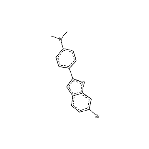 CN(C)c1ccc(-c2cc3ccc(Br)cc3o2)cc1